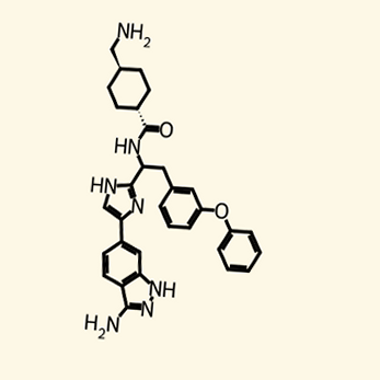 NC[C@H]1CC[C@H](C(=O)NC(Cc2cccc(Oc3ccccc3)c2)c2nc(-c3ccc4c(N)n[nH]c4c3)c[nH]2)CC1